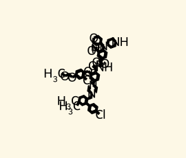 COCOc1ccc(Oc2cc(N3CCN(CC4=C(c5ccc(Cl)cc5)CC(C)(C)CC4)CC3)ccc2C(=O)NS(=O)(=O)c2ccc(N(C3CCNCC3)C3CCOCC3)c([N+](=O)[O-])c2)c(Cl)c1